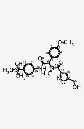 COc1ccc(C(C(=O)Nc2ccc([Si](C)(C)C)cc2)N(C)C(=O)c2cc(CO)on2)cc1